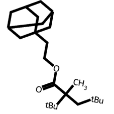 CC(C)(C)CC(C)(C(=O)OCCC12CC3CC(CC(C3)C1)C2)C(C)(C)C